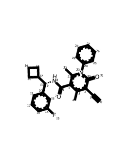 C#Cc1c(C)c(C(=O)N[C@H](c2cccc(F)c2)C2CCC2)c(C)n(-c2ccccc2)c1=O